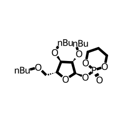 CCCCOC[C@H]1O[C@H](OP2(=O)OCCCO2)[C@@H](OCCCC)[C@@H]1OCCCC